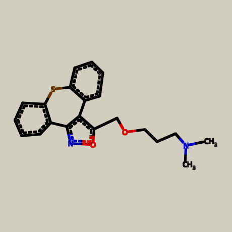 CN(C)CCCOCc1onc2c1-c1ccccc1Sc1ccccc1-2